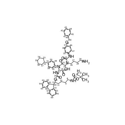 CC(C)(C)OC(=O)NCCCCC(OC(=O)NC(C(=O)O)N(C(=O)CN(CCCCN)C(=O)Nc1ccc(OCc2ccccc2)cc1)c1ccc(C2CCCCC2)cc1)C1c2ccccc2-c2ccccc21